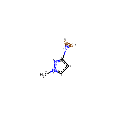 Cn1ccc(-n2ss2)n1